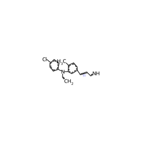 C=CN(c1ccc(Cl)cc1)c1cc(/C=C/C=N)ccc1C